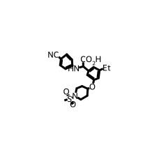 CCc1cc(OC2CCN(S(C)(=O)=O)CC2)cc(C(Nc2ccc(C#N)cc2)C(=O)O)c1